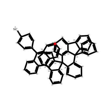 N#Cc1ccc(-c2c3ccccc3c(-c3ccccc3C3(c4ccccc4)c4ccccc4C4(c5ccccc5)c5ccccc5-c5cccc3c54)c3ccccc23)cc1